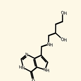 O=c1[nH]cnc2c(CNCC(O)CCO)c[nH]c12